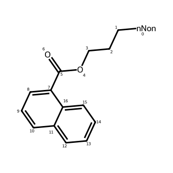 CCCCCCCCCCCCOC(=O)c1cccc2ccccc12